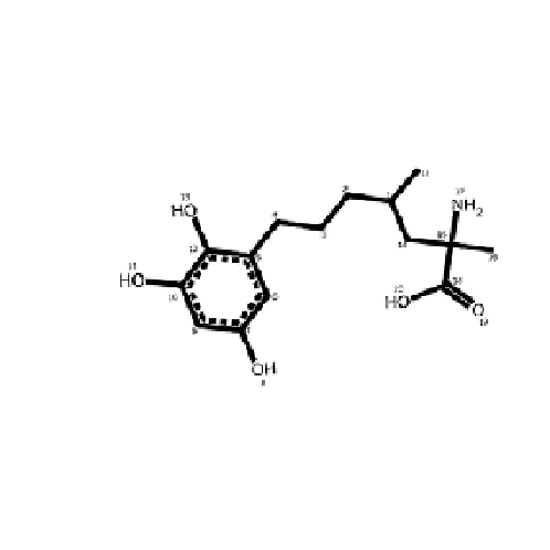 CC(CCCc1cc(O)cc(O)c1O)CC(C)(N)C(=O)O